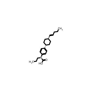 CCC/C=C/[C@H]1CC[C@H](c2ccc(N(CCC)C(=O)O)cc2)CC1